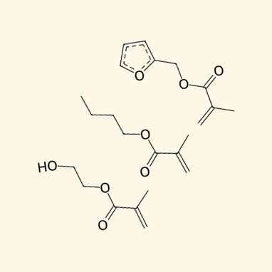 C=C(C)C(=O)OCCCC.C=C(C)C(=O)OCCO.C=C(C)C(=O)OCc1ccco1